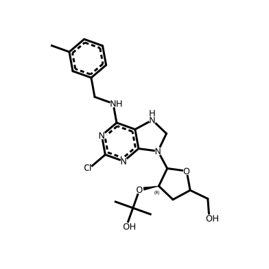 Cc1cccc(CNc2nc(Cl)nc3c2NCN3C2OC(CO)C[C@H]2OC(C)(C)O)c1